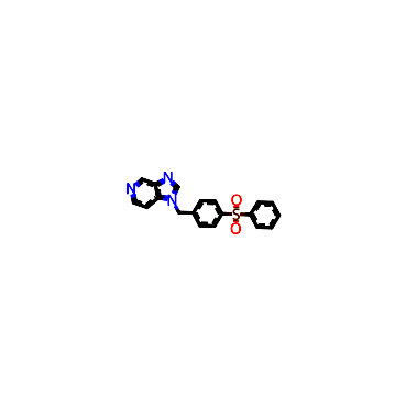 O=S(=O)(c1ccccc1)c1ccc(Cn2cnc3cnccc32)cc1